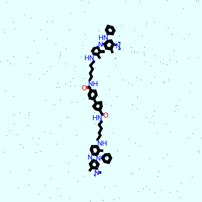 C=C1C(C)=C(NCCCCCCNC(=O)c2ccc(-c3ccc(C(=O)NCCCCCCNc4ccc5nc6cc(C)c(N(C)C)cc6[n+](-c6ccccc6)c5c4C)cc3)cc2)C=C/C1=N/c1cc(C)c(N(C)C)cc1Nc1ccccc1